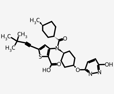 CC(C)(C)C#Cc1cc(N(C(=O)[C@H]2CC[C@H](C)CC2)[C@H]2CC[C@@H](Oc3ccc(O)nn3)CC2)c(C(=O)O)s1